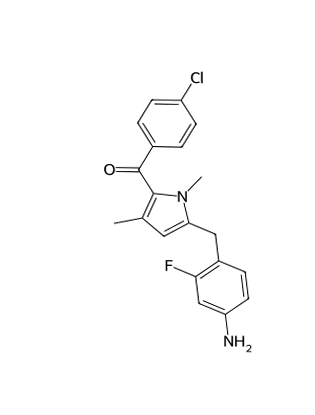 Cc1cc(Cc2ccc(N)cc2F)n(C)c1C(=O)c1ccc(Cl)cc1